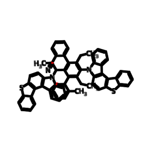 CCc1c(-c2ccccc2C)c(C(CC)n2c3ccccc3c3c4c(ccc32)sc2ccccc24)c(-c2ccccc2C#N)c(CC)c1-n1c2ccccc2c2c3c(ccc21)sc1ccccc13